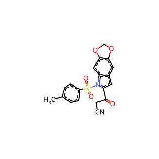 Cc1ccc(S(=O)(=O)n2c(C(=O)CC#N)cc3cc4c(cc32)OCO4)cc1